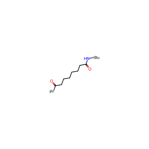 CC(C)C(=O)CCCCCCC(=O)NC(C)(C)C